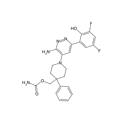 NC(=O)OCC1(c2ccccc2)CCN(c2cc(-c3cc(F)cc(F)c3O)nnc2N)CC1